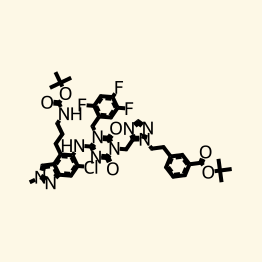 Cn1cc2c(CCCNC(=O)OC(C)(C)C)c(Nc3nc(=O)n(Cc4ncnn4CCc4cccc(C(=O)OC(C)(C)C)c4)c(=O)n3Cc3cc(F)c(F)cc3F)c(Cl)cc2n1